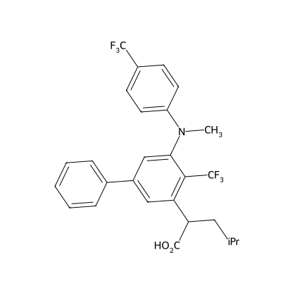 CC(C)CC(C(=O)O)c1cc(-c2ccccc2)cc(N(C)c2ccc(C(F)(F)F)cc2)c1C(F)(F)F